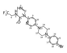 N=CN(C(=O)NCC(F)(F)F)c1ccc(N2CCN(c3ccc(Br)cc3)CC2)cn1